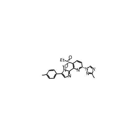 CCS(=O)(=O)c1ccc(-n2cnc(C)n2)nc1-c1ncc(-c2ccc(C)cc2)n1C